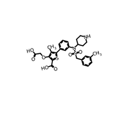 Cc1cccc(CS(=O)(=O)N(c2cccc(-c3sc(C(=O)O)c(OCC(=O)O)c3C)c2)C2CCNCC2)c1